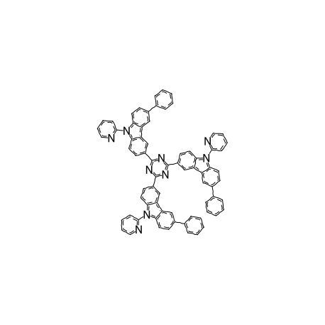 c1ccc(-c2ccc3c(c2)c2cc(-c4nc(-c5ccc6c(c5)c5cc(-c7ccccc7)ccc5n6-c5ccccn5)nc(-c5ccc6c(c5)c5cc(-c7ccccc7)ccc5n6-c5ccccn5)n4)ccc2n3-c2ccccn2)cc1